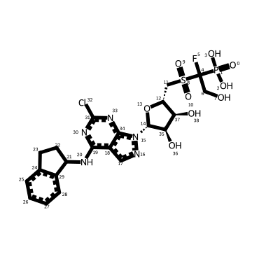 O=P(O)(O)C(F)(CO)S(=O)(=O)C[C@H]1O[C@@H](n2ncc3c(NC4CCc5ccccc54)nc(Cl)nc32)[C@H](O)[C@@H]1O